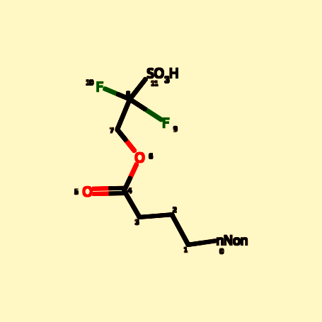 CCCCCCCCCCCCC(=O)OCC(F)(F)S(=O)(=O)O